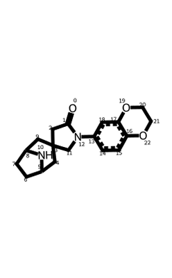 O=C1CC2(CC3CCC(C2)N3)CN1c1ccc2c(c1)OCCO2